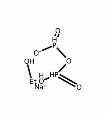 CCO.O=[PH]([O-])O[PH](=O)O.[Na+]